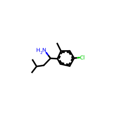 Cc1cc(Cl)ccc1C(N)CC(C)C